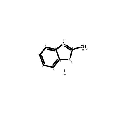 CC1=[N+]c2ccccc2S1.[I-]